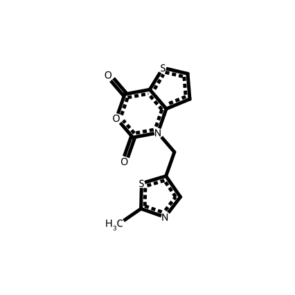 Cc1ncc(Cn2c(=O)oc(=O)c3sccc32)s1